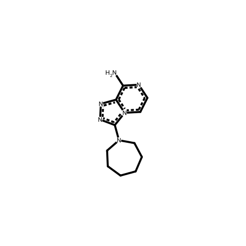 Nc1nccn2c(N3CCCCCC3)nnc12